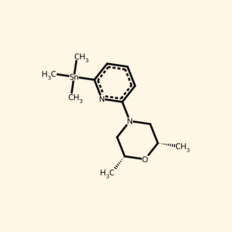 C[C@@H]1CN(c2ccc[c]([Sn]([CH3])([CH3])[CH3])n2)C[C@H](C)O1